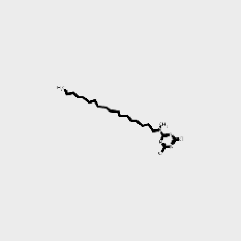 CCCCCCCCCCCCCCCCCCN(C)c1nc(Cl)nc(Cl)n1